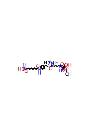 C#CCNC(=O)C(CO)(CO)C(=O)NCCCC[C@@H](C(=O)NCCc1ccc(NC(=O)CCCCCCC(=O)NO)cc1)N(C)C